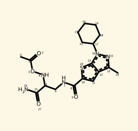 CC(=O)ONC(CNC(=O)c1cc2c(C)nn(C3CCCCC3)c2s1)C(N)=O